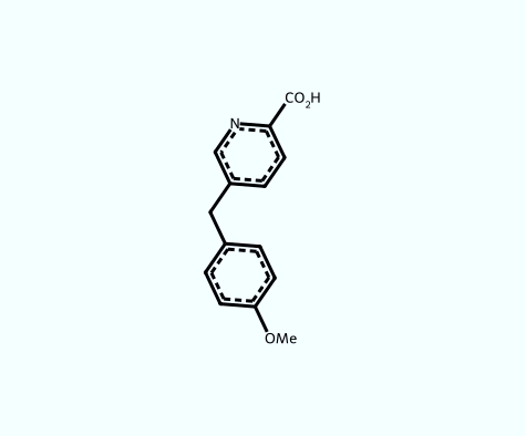 COc1ccc(Cc2ccc(C(=O)O)nc2)cc1